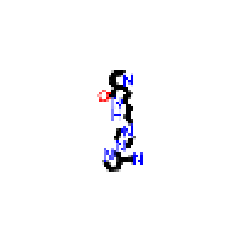 N#Cc1cccnc1N1CCN(CCCc2cc3ncccc3c(=O)[nH]2)CC1